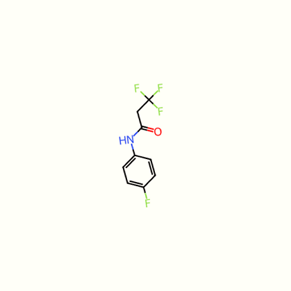 O=C(CC(F)(F)F)Nc1ccc(F)cc1